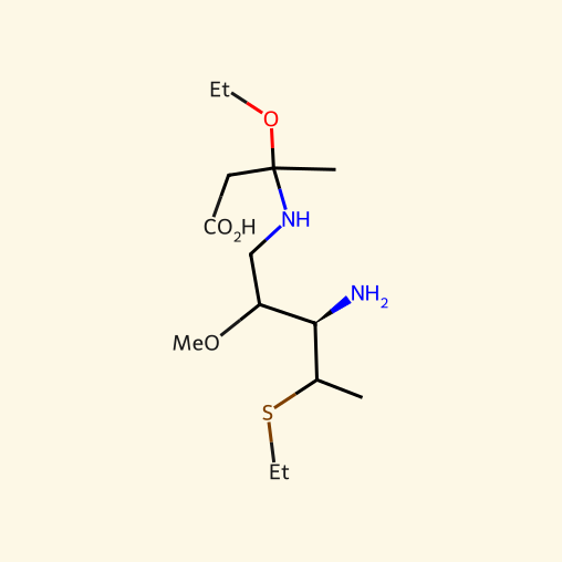 CCOC(C)(CC(=O)O)NCC(OC)[C@@H](N)C(C)SCC